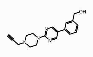 C#CCN1CCN(c2ncc(-c3cccc(CO)c3)cn2)CC1